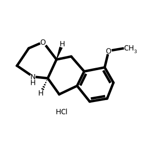 COc1cccc2c1C[C@H]1OCCN[C@@H]1C2.Cl